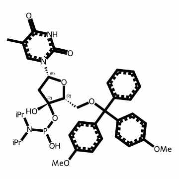 COc1ccc(C(OC[C@H]2O[C@@H](n3cc(C)c(=O)[nH]c3=O)C[C@@]2(O)OP(O)N(C(C)C)C(C)C)(c2ccccc2)c2ccc(OC)cc2)cc1